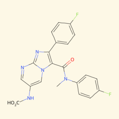 CN(C(=O)c1c(-c2ccc(F)cc2)nc2ncc(NC(=O)O)cn12)c1ccc(F)cc1